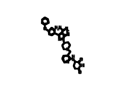 Nc1ncnc2c1c(-c1ccc(Oc3ccccc3)cc1)nn2C1CCN(Cc2cccnc2NC2CCC(=O)NC2=O)CC1